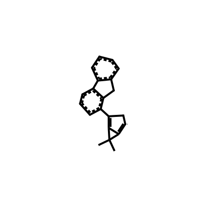 CC1(C)C2=[C]CC(c3cccc4c3Cc3ccccc3-4)=C21